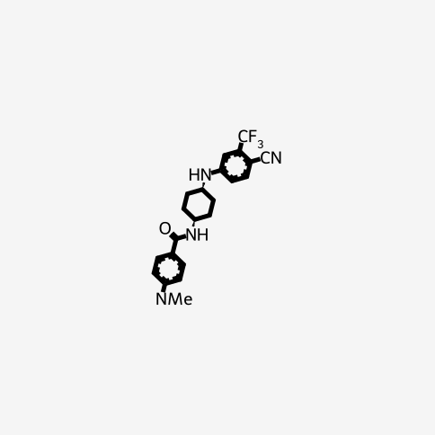 CNc1ccc(C(=O)N[C@H]2CC[C@@H](Nc3ccc(C#N)c(C(F)(F)F)c3)CC2)cc1